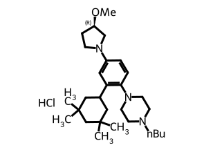 CCCCN1CCN(c2ccc(N3CC[C@@H](OC)C3)cc2C2CC(C)(C)CC(C)(C)C2)CC1.Cl